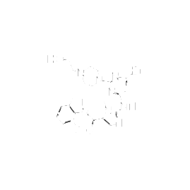 CCc1nc(Nc2ncc(C(=O)Nc3c(C)cccc3Cl)n2C)nc(N2CCN(CCO)CC2)n1